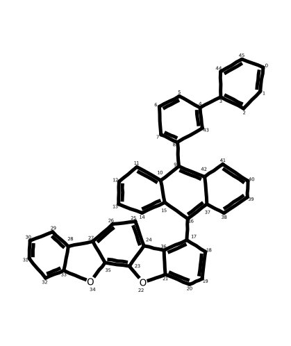 c1ccc(-c2cccc(-c3c4ccccc4c(-c4cccc5oc6c(ccc7c8ccccc8oc76)c45)c4ccccc34)c2)cc1